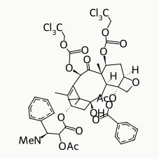 CN[C@@H](c1ccccc1)C(OC(C)=O)C(=O)O[C@H]1C[C@@]2(O)[C@@H](OC(=O)c3ccccc3)[C@@H]3[C@]4(OC(C)=O)CO[C@@H]4C[C@H](OC(=O)OCC(Cl)(Cl)Cl)[C@@]3(C)C(=O)[C@H](OC(=O)OCC(Cl)(Cl)Cl)C(=C1C)C2(C)C